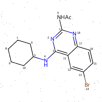 CC(=O)Nc1nc(NC2CCCCC2)c2cc(Br)ccc2n1